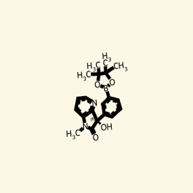 CN1C(=O)[C@@](O)(c2cccc(B3OC(C)(C)C(C)(C)O3)c2)c2ncccc21